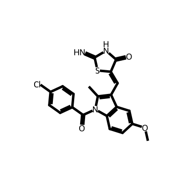 COc1ccc2c(c1)c(/C=C1\SC(=N)NC1=O)c(C)n2C(=O)c1ccc(Cl)cc1